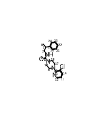 CC(CNC(=O)N1CCN(c2ncccc2Cl)CC1)c1ccccc1